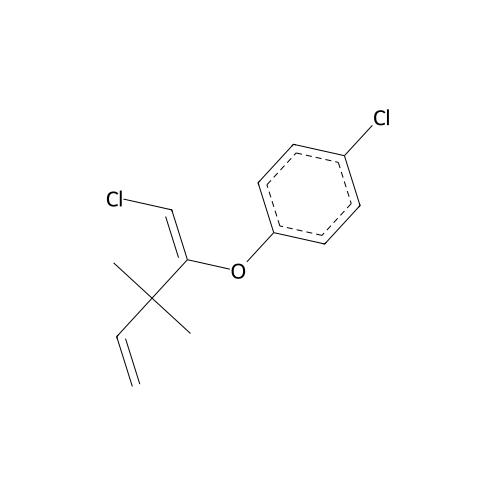 C=CC(C)(C)C(=CCl)Oc1ccc(Cl)cc1